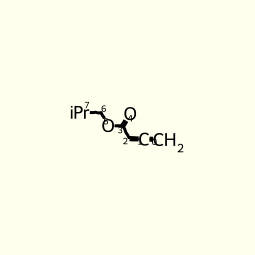 C=C=CC(=O)OCC(C)C